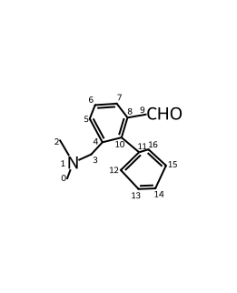 CN(C)Cc1cccc(C=O)c1-c1ccccc1